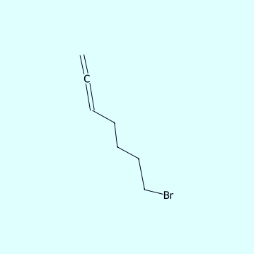 C=C=CCCCCBr